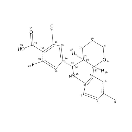 Cc1ccc2c(c1)[C@@H]1OCCC[C@@H]1[C@@H](c1cc(F)c(C(=O)O)c(F)c1)N2